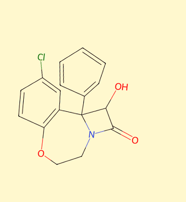 O=C1C(O)C2(c3ccccc3)c3cc(Cl)ccc3OCCN12